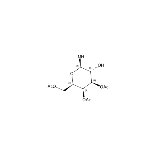 CC(=O)OC[C@H]1O[C@@H](O)[C@H](O)[C@@H](OC(C)=O)[C@H]1OC(C)=O